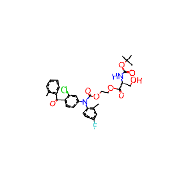 Cc1ccccc1C(=O)c1ccc(N(C(=O)OCCOC(=O)[C@H](CO)NC(=O)OC(C)(C)C)c2ccc(F)cc2C)cc1Cl